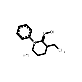 CCC1CCCN(c2ccccc2)/C1=N/O.Cl